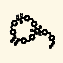 O=C=Nc1ccc(Cc2ccc(NC(=O)Nc3ccc(Cc4ccc(N(C(=O)Nc5ccc(Cc6ccc(N=C=O)cc6)cc5)C(=O)Nc5ccc(Cc6ccc(N=C=O)cc6)cc5)cc4)cc3)cc2)cc1